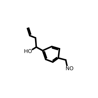 C=CCC(O)c1ccc(CN=O)cc1